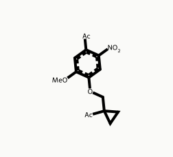 COc1cc(C(C)=O)c([N+](=O)[O-])cc1OCC1(C(C)=O)CC1